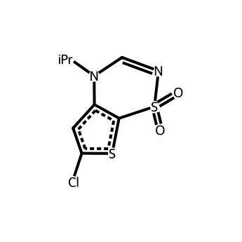 CC(C)N1C=NS(=O)(=O)c2sc(Cl)cc21